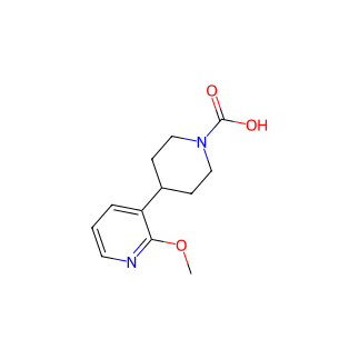 COc1ncccc1C1CCN(C(=O)O)CC1